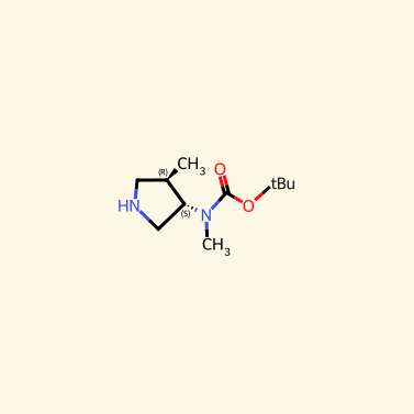 C[C@@H]1CNC[C@H]1N(C)C(=O)OC(C)(C)C